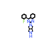 Fc1ccccc1-c1nc(N2CC3CNCC3C2)nc2ccccc12